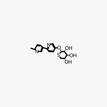 Cc1ccc(-c2ccc(O[C@@H]3SC[C@@H](O)[C@H](O)[C@H]3O)cn2)cn1